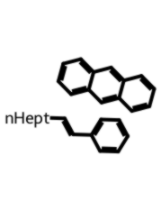 CCCCCCCC=Cc1ccccc1.c1ccc2cc3ccccc3cc2c1